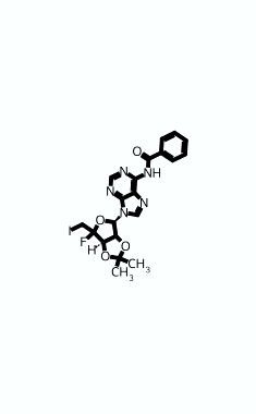 CC1(C)OC2[C@H](n3cnc4c(NC(=O)c5ccccc5)ncnc43)OC(F)(CI)[C@@H]2O1